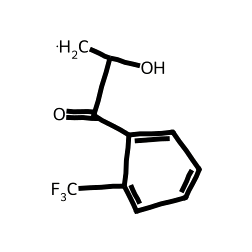 [CH2]C(O)C(=O)c1ccccc1C(F)(F)F